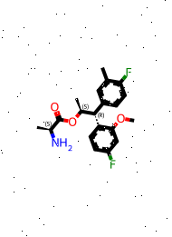 COc1cc(F)ccc1[C@@H](c1ccc(F)c(C)c1)[C@H](C)OC(=O)[C@H](C)N